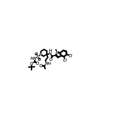 CC(=O)NCCC1(NC(=O)c2cc3c(Cl)c(Cl)ccc3n2C)CCCN(S(=O)(=O)NC(=O)OC(C)(C)C)C1